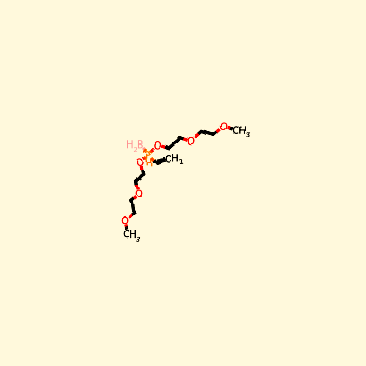 B[PH](C=C)(OCCOCCOC)OCCOCCOC